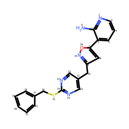 Nc1ncccc1-c1cc(Cc2cnc(SCc3ccccc3)nc2)no1